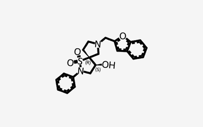 O=S1(=O)N(c2ccccc2)C[C@H](O)[C@]12CCN(Cc1cc3ccccc3o1)C2